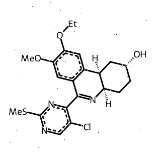 CCOc1cc2c(cc1OC)C(c1nc(SC)ncc1Cl)=N[C@@H]1CC[C@@H](O)C[C@H]21